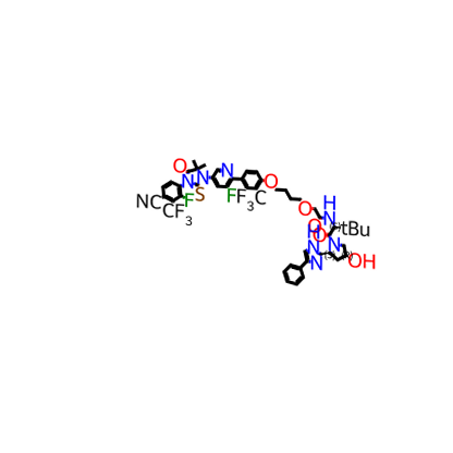 CC(C)(C)[C@H](NC(=O)COCCCCOc1ccc(-c2ncc(N3C(=S)N(c4ccc(C#N)c(C(F)(F)F)c4F)C(=O)C3(C)C)cc2F)c(C(F)(F)F)c1)C(=O)N1C[C@H](O)C[C@H]1c1nc(-c2ccccc2)c[nH]1